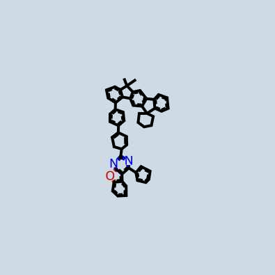 CC1(C)c2cc3c(cc2-c2c(-c4ccc(C5=CCC(c6nc(-c7ccccc7)c7c(n6)oc6ccccc67)C=C5)cc4)cccc21)C1(CCCCC1)c1ccccc1-3